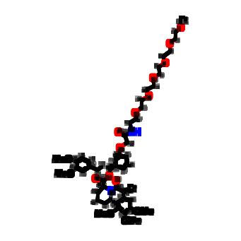 CCOCCOCCOCCOCCOCCOCCNC(=O)COc1cccc([C@@H](CCc2ccc(OC)c(OC)c2)OC(=O)[C@@H]2CCCCN2C(=O)[C@@H](CC)c2cc(OC)c(OC)c(OC)c2)c1